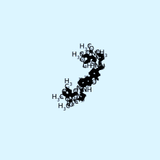 COC(=O)N[C@H](C(=O)N1[C@@H](C)CC[C@H]1c1ncc(-c2ccc3c(c2)COc2cc4c(ccc5nc([C@@H]6CC[C@H](C)N6C(=O)[C@@H](NC(=O)OC)C6C[C@@H](C)O[C@H](C)C6)[nH]c54)cc2-3)[nH]1)C1C[C@@H](C)O[C@@H](C)C1